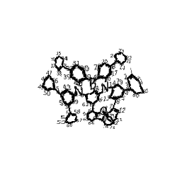 c1ccc(-c2cc(-c3ccccc3)cc(N3c4cc(-c5ccccc5)ccc4B4c5ccc(-c6ccccc6)cc5N(c5cc(-c6ccccc6)cc(-c6ccccc6)c5)c5cc(-c6cccc7c6oc6ccccc67)cc3c54)c2)cc1